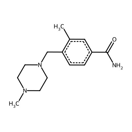 Cc1cc(C(N)=O)ccc1CN1CCN(C)CC1